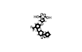 CN(C)C1(c2ccccc2)CCC(Cc2cc(O[C@H]3C[C@@H](C(=O)O)N(C(=O)O)C3)ccc2C(F)F)CC1